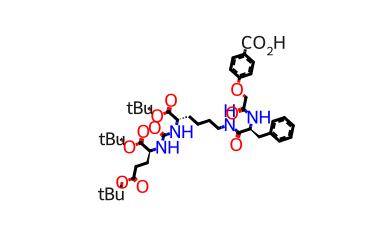 CC(C)(C)OC(=O)CC[C@H](NC(=O)N[C@@H](CCCCNC(=O)[C@H](Cc1ccccc1)NC(=O)COc1ccc(C(=O)O)cc1)C(=O)OC(C)(C)C)C(=O)OC(C)(C)C